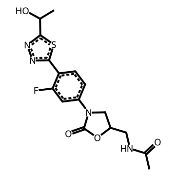 CC(=O)NCC1CN(c2ccc(-c3nnc(C(C)O)s3)c(F)c2)C(=O)O1